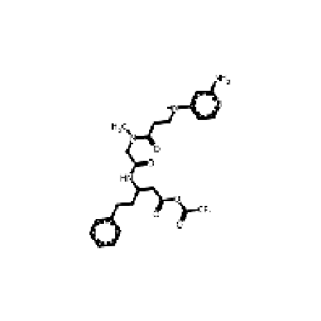 CN(CC(=O)NC(CCc1ccccc1)CC(=O)OC(=O)C(F)(F)F)C(=O)CCNc1ccnc(N)c1